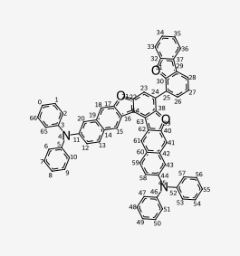 c1ccc(N(c2ccccc2)c2ccc3cc4c(cc3c2)oc2cc(-c3cccc5c3oc3ccccc35)c3oc5cc6cc(N(c7ccccc7)c7ccccc7)ccc6cc5c3c24)cc1